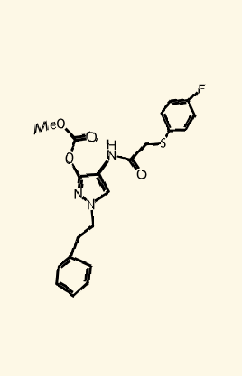 COC(=O)Oc1nn(CCc2ccccc2)cc1NC(=O)CSc1ccc(F)cc1